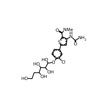 CNC(=O)c1sc(-c2ccc(OC(O)C(O)C(O)C(O)CCO)c(Cl)c2)cc1NC(N)=O